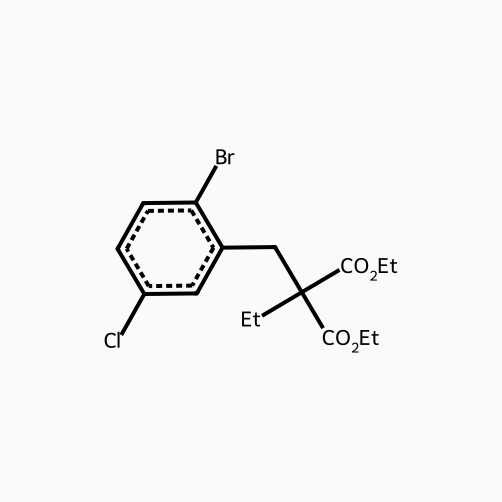 CCOC(=O)C(CC)(Cc1cc(Cl)ccc1Br)C(=O)OCC